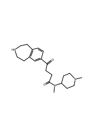 CN1CCC(N(C)C(=O)CCC(=O)c2ccc3c(c2)CCNCC3)CC1